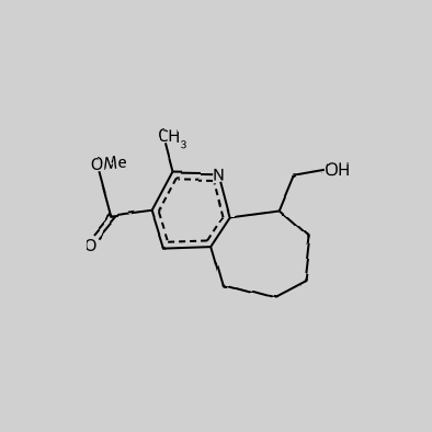 COC(=O)c1cc2c(nc1C)C(CO)CCCC2